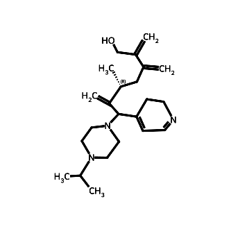 C=C(CO)C(=C)C[C@@H](C)C(=C)C(C1=CC=NCC1)N1CCN(C(C)C)CC1